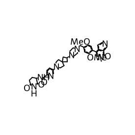 COc1cc(-c2cn(C)c(=O)c3cnccc23)c(OC)cc1CN1CCN(C2CC3(CCN(c4ccc(C(=O)NC5CCC(=O)NC5=O)nc4)CC3)C2)CC1